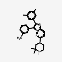 CC1(C)CN(c2ccc3nc(-c4cc(F)cc(F)c4)c(-c4ccnc(N)c4)n3n2)CCN1